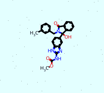 COC(=O)Nc1nc2cc(C3(O)c4ccccc4C(=O)N3Cc3cccc(C)c3)ccc2[nH]1